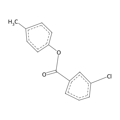 Cc1ccc(OC(=O)c2cccc(Cl)c2)cc1